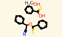 CO.N#CC(OC(=S)c1ccccc1)c1ccccc1.OC(=S)c1ccccc1